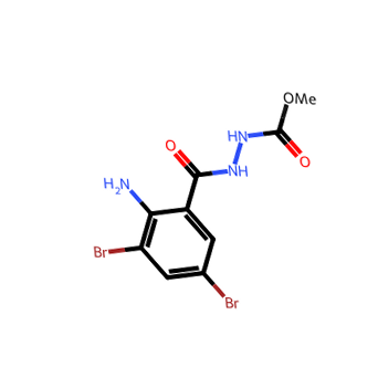 COC(=O)NNC(=O)c1cc(Br)cc(Br)c1N